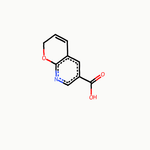 O=C(O)c1cnc2c(c1)C=CCO2